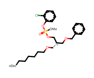 CCCCCCCCCCCCCCCCOC[C@@H](COCc1ccccc1)COP(=O)(OC)Oc1ccccc1Cl